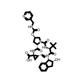 C=C[C@@H]1C[C@]1(NC(=O)[C@@H]1C[C@@H](OC(=O)NCc2cccnc2)CN1C(=O)N[C@H](C(=O)N[C@H]1c2ccccc2C[C@H]1O)C(C)(C)C)C(=O)O